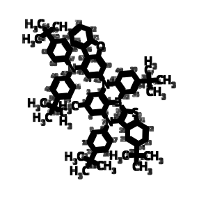 Cc1cc2c3c(c1)N(c1ccc(C(C)(C)C)cc1)c1c(sc4ccc(C(C)(C)C)cc14)B3c1cc(C(C)(C)C)ccc1N2c1cc(N(c2ccc(C(C)(C)C)cc2)c2ccc(C(C)(C)C)cc2)c2c(c1)oc1ccccc12